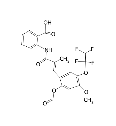 COc1cc(OC=O)c(/C=C(\C)C(=O)Nc2ccccc2C(=O)O)cc1OC(F)(F)C(F)F